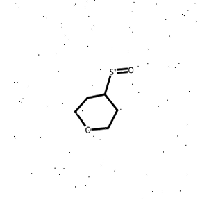 O=[S+]C1CCOCC1